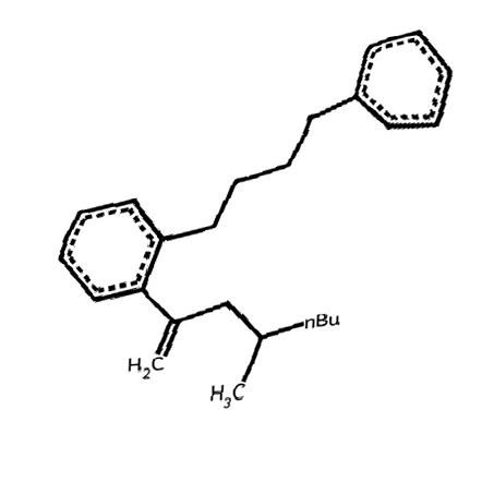 C=C(CC(C)CCCC)c1ccccc1CCCCc1ccccc1